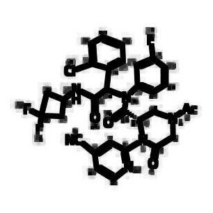 CC(=O)N1CC(=O)N(c2cc(C#N)ccn2)[C@H](C(=O)N(c2cccc(F)c2)C(C(=O)NC2CC(F)(F)C2)c2ccccc2Cl)C1